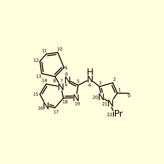 Cc1cc(NC2=N[N+]3(c4ccccc4)C=CN=CC3=N2)nn1C(C)C